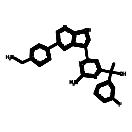 CC(O)(c1cccc(F)c1)c1cc(-c2c[nH]c3ncc(-c4ccc(CN)cc4)cc23)nc(N)n1